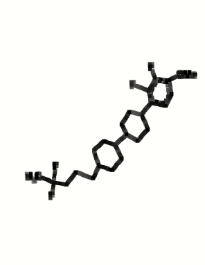 COc1ccc(C2CCC(C3CCC(CCCC(C)(F)F)CC3)CC2)c(F)c1F